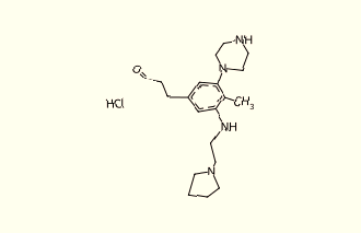 Cc1c(NCCN2CCCC2)cc(CCC=O)cc1N1CCNCC1.Cl